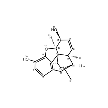 CN1CCC23c4c5ccc(O)c4O[C@H]2[C@@H](O)C=C[C@H]3[C@H]1C5